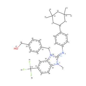 Cn1/c(=N/c2ccc(C3CC(C)(C)CC(C)(C)C3)cc2)n(Cc2ccc(CO)cc2)c2cc(C(F)(F)F)ccc21